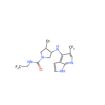 CCC1CN(C(=O)NCC(F)(F)F)CC1Nc1c(C(F)(F)F)cnc2[nH]ccc12